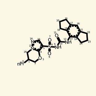 CCCC1COc2c(S(=O)(=O)NC(=O)Nc3c4c(cc5c3CCC5)CCC4)cnn2C1